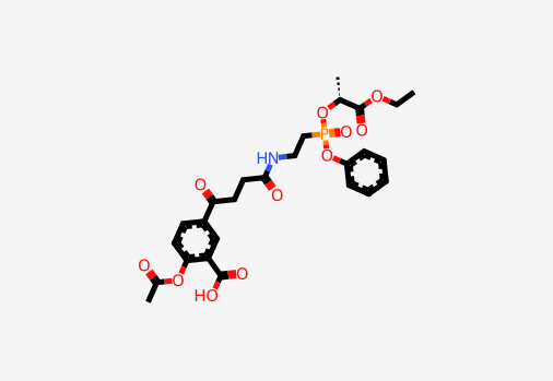 CCOC(=O)[C@@H](C)OP(=O)(CCNC(=O)CCC(=O)c1ccc(OC(C)=O)c(C(=O)O)c1)Oc1ccccc1